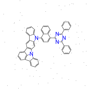 c1ccc(-c2nc(-c3ccccc3)nc(-c3ccc(-n4c5ccccc5c5cc6c7cccc8c9ccccc9n(c6cc54)c87)c4ccccc34)n2)cc1